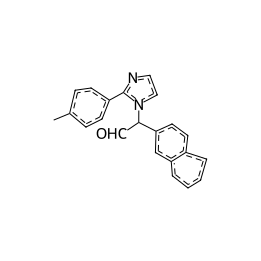 Cc1ccc(-c2nccn2C(C=O)c2ccc3ccccc3c2)cc1